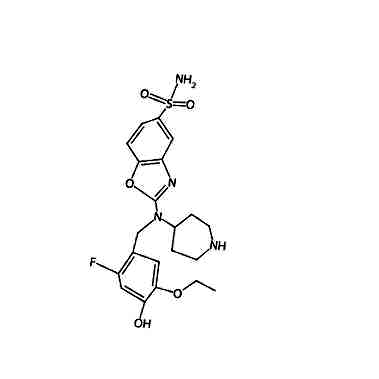 CCOc1cc(CN(c2nc3cc(S(N)(=O)=O)ccc3o2)C2CCNCC2)c(F)cc1O